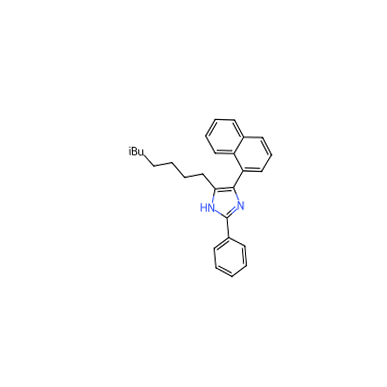 CCC(C)CCCCc1[nH]c(-c2ccccc2)nc1-c1cccc2ccccc12